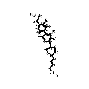 CCCCCC1CCC(c2cc3oc4cc(CCC)c(F)c(F)c4c3c(F)c2F)CC1